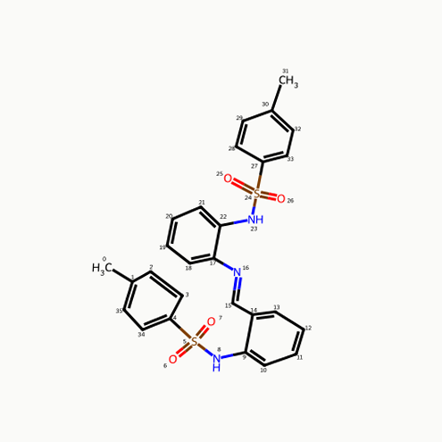 Cc1ccc(S(=O)(=O)Nc2ccccc2C=Nc2ccccc2NS(=O)(=O)c2ccc(C)cc2)cc1